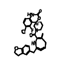 CC1=C(C(=O)N2CCC[C@@]3(C2)OC(=O)Nc2ccc(Cl)c(F)c23)NC(Cc2ccc3c(c2)CCO3)=C=CC1